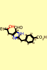 CCC(O)Cc1nc(Cc2ccc(C(=O)O)cc2)[nH]c1C=O